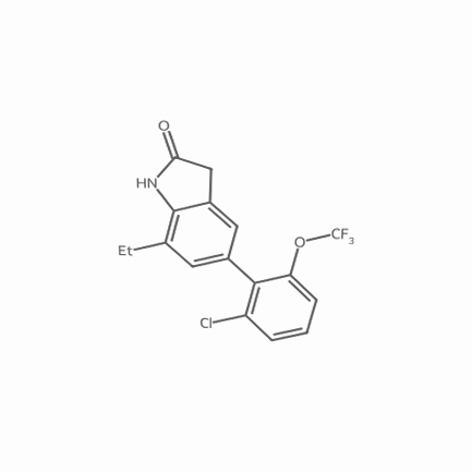 CCc1cc(-c2c(Cl)cccc2OC(F)(F)F)cc2c1NC(=O)C2